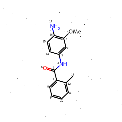 COc1cc(NC(=O)c2ccccc2C)ccc1N